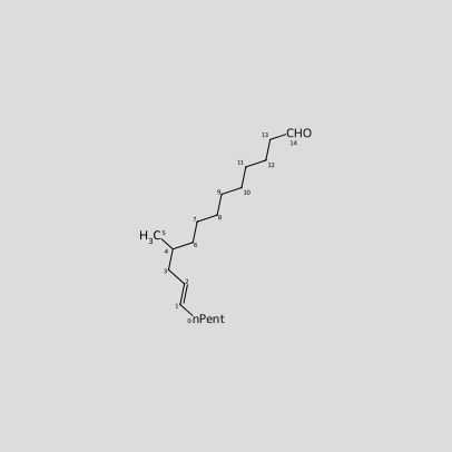 CCCCCC=CCC(C)CCCCCCCCC=O